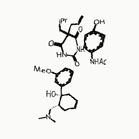 C=CCC1(CC(C)C)C(=O)NC(=O)NC1=O.CC(=O)Nc1ccc(O)cc1.COc1cccc([C@@]2(O)CCCC[C@@H]2CN(C)C)c1